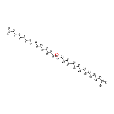 CC(C)CCCCCCCCCCCCCCCCOCCCCCCCCCCCCCCCCC(C)C